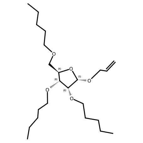 C=CCO[C@H]1O[C@H](COCCCCC)[C@@H](OCCCCC)[C@H]1OCCCCC